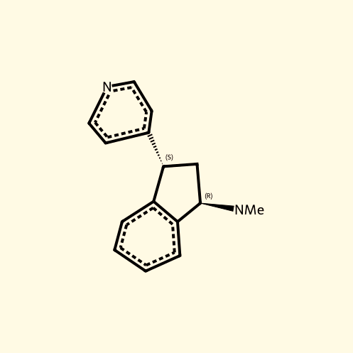 CN[C@@H]1C[C@@H](c2ccncc2)c2ccccc21